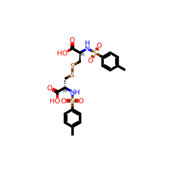 Cc1ccc(S(=O)(=O)N[C@@H](CSSC[C@H](NS(=O)(=O)c2ccc(C)cc2)C(=O)O)C(=O)O)cc1